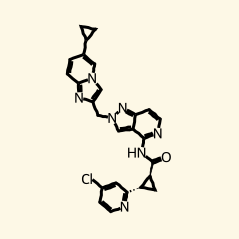 O=C(Nc1nccc2nn(Cc3cn4cc(C5CC5)ccc4n3)cc12)[C@H]1C[C@@H]1c1cc(Cl)ccn1